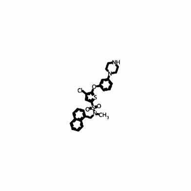 CN(Cc1cccc2ccccc12)S(=O)(=O)c1cc(Cl)c(Oc2cccc(N3CCNCC3)c2)s1